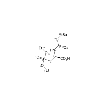 CCOP(=O)(C[C@@H](NC(=O)OC(C)(C)C)C(=O)O)OCC